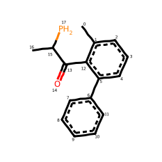 Cc1cccc(-c2ccccc2)c1C(=O)C(C)P